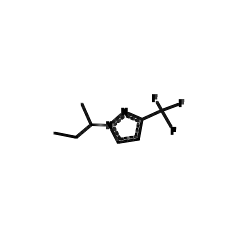 CCC(C)n1ccc(C(F)(F)F)n1